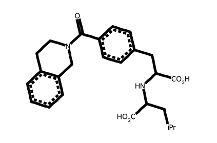 CC(C)CC(NC(Cc1ccc(C(=O)N2CCc3ccccc3C2)cc1)C(=O)O)C(=O)O